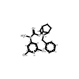 CN(C(=O)OC1C2CCC1N(Cc1ccccc1)C2)c1cc(Cl)nc(Cl)c1